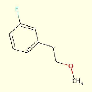 COC[CH]c1cccc(F)c1